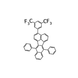 FC(F)(F)c1cc(-c2ccc3c4c(cccc24)-c2c-3c(-c3ccccc3)c3ccccc3c2-c2ccccc2)cc(C(F)(F)F)c1